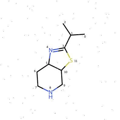 CC(C)C1=NC2CCNCC2S1